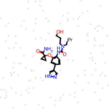 CC(C)CN(CCCO)C(=O)Nc1ccc(-c2cn[nH]c2)cc1OC1(C(N)=O)CC1